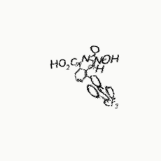 O=C(O)[C@H]1c2cccc(OS(=O)(=O)C(F)(F)F)c2[C@H]2CN1C(=O)N2O